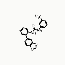 Cc1cccc(NC(=O)Nc2cc[c]cc2-c2ccc3c(c2)OCO3)c1